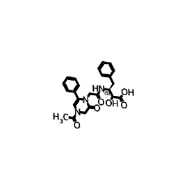 CC(=O)N1C=C(c2ccccc2)N(CC(=O)N[C@@H](Cc2ccccc2)C(O)C(=O)O)C(=O)C1